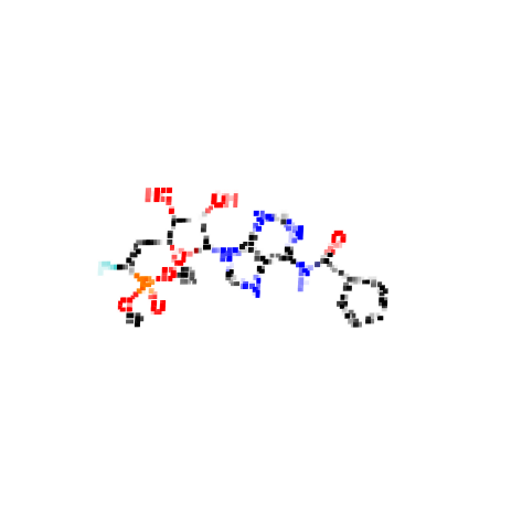 CCOP(=O)(OCC)C(F)=CC1OC(n2cnc3c(NC(=O)c4ccccc4)ncnc32)C(O)C1O